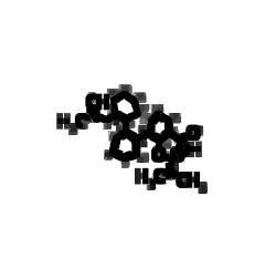 CN(C)CC1=C(c2ccccc2-c2cccc(C(=O)O)c2OC(=O)N(C)C)CCCC1